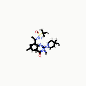 Cc1cc(C(C)N[S+]([O-])C(C)(C)C)c2nc(N3CCC(C)(C)CC3)n(C)c(=O)c2c1